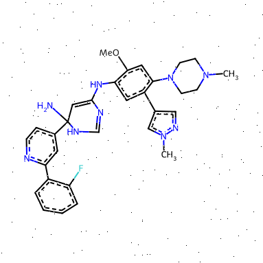 COc1cc(N2CCN(C)CC2)c(-c2cnn(C)c2)cc1NC1=CC(N)(c2ccnc(-c3ccccc3F)c2)NC=N1